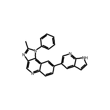 Cc1nc2cnc3ccc(-c4cnc5[nH]ccc5c4)cc3c2n1-c1ccccc1